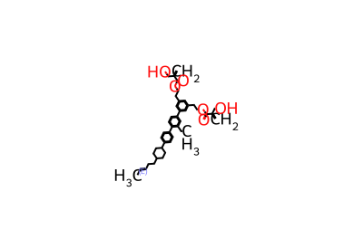 C=C(CO)C(=O)OCCc1cc(CCOC(=O)C(=C)CO)cc(-c2ccc(-c3ccc(C4CCC(CC/C=C/C)CC4)cc3)c(CC)c2)c1